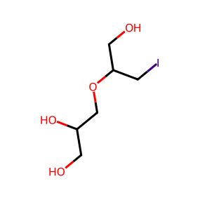 OCC(O)COC(CO)CI